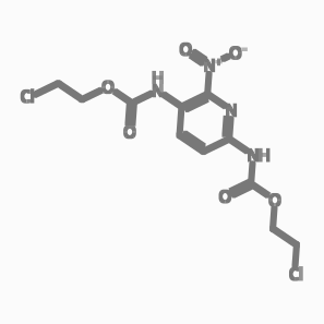 O=C(Nc1ccc(NC(=O)OCCCl)c([N+](=O)[O-])n1)OCCCl